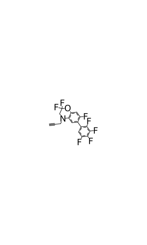 C#CCN1CC(F)(F)Oc2cc(F)c(-c3cc(F)c(F)c(F)c3F)cc21